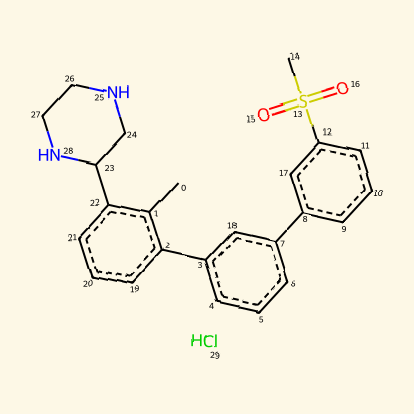 Cc1c(-c2cccc(-c3cccc(S(C)(=O)=O)c3)c2)cccc1C1CNCCN1.Cl